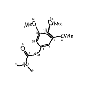 COc1cc(SC(=O)N(C)C)cc(OC)c1OC